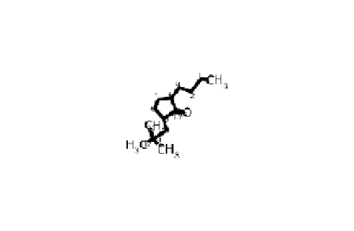 CCCCC1CCC(CC(C)(C)C)C1=O